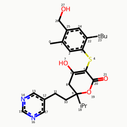 Cc1cc(SC2=C(O)CC(CCc3cncnc3)(C(C)C)OC2=O)c(C(C)(C)C)cc1CO